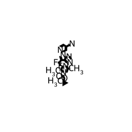 C[C@@H]1CN(c2ncnc3c2c(C(F)F)cn3-c2cc(C#N)ccn2)[C@@H](C)CN1C(=O)OC1(C)CC1